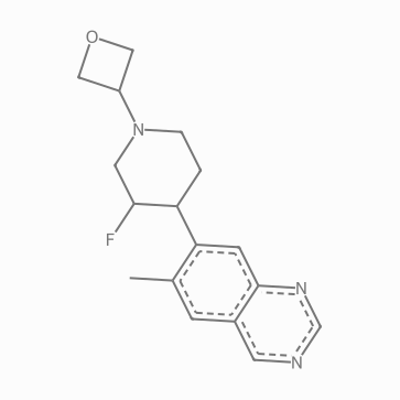 Cc1cc2cncnc2cc1C1CCN(C2COC2)CC1F